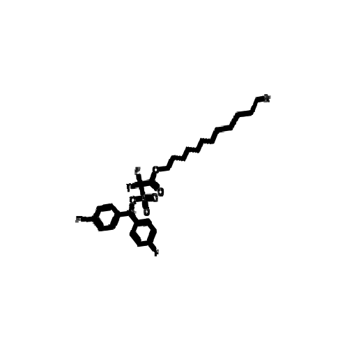 O=C(OCCCCCCCCCCCCBr)C(F)(F)S(=O)(=O)O[I+](c1ccc(F)cc1)c1ccc(F)cc1